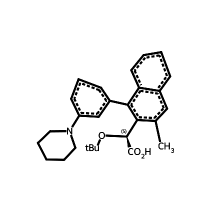 Cc1cc2ccccc2c(-c2cccc(N3CCCCC3)c2)c1[C@H](OC(C)(C)C)C(=O)O